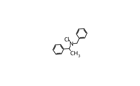 CC(c1ccccc1)N(Cl)Cc1ccccc1